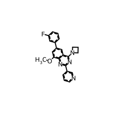 COc1cc(-c2cccc(F)c2)cc2c(N3CCC3)nc(-c3cccnc3)nc12